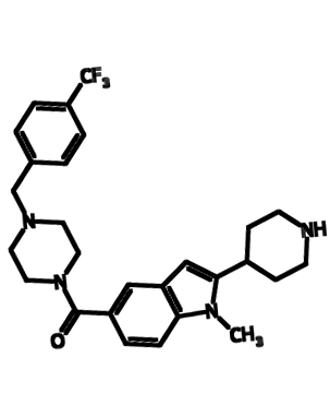 Cn1c(C2CCNCC2)cc2cc(C(=O)N3CCN(Cc4ccc(C(F)(F)F)cc4)CC3)ccc21